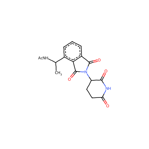 CC(=O)NC(C)c1cccc2c1C(=O)N(C1CCC(=O)NC1=O)C2=O